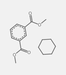 C1CCCCC1.COC(=O)c1cccc(C(=O)OC)c1